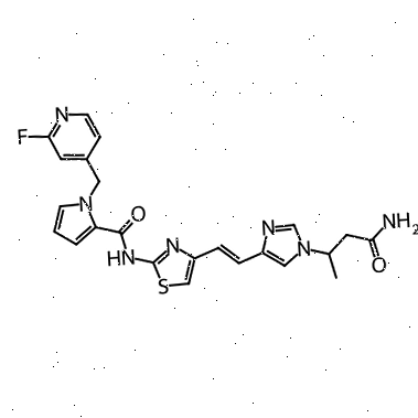 CC(CC(N)=O)n1cnc(C=Cc2csc(NC(=O)c3cccn3Cc3ccnc(F)c3)n2)c1